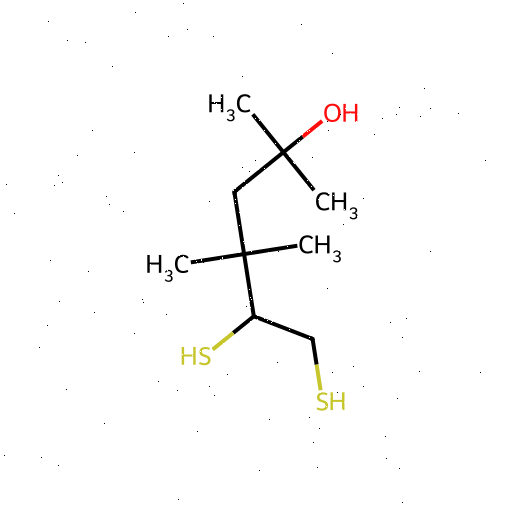 CC(C)(O)CC(C)(C)C(S)CS